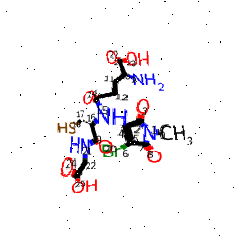 CN1C(=O)C=C(Br)C1=O.N[C@@H](CCC(=O)N[C@@H](CS)C(=O)NCC(=O)O)C(=O)O